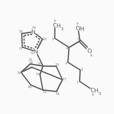 CCCCC(CC)C(=O)O.c1cn(C23CC4CC(CC(C4)C2)C3)cn1